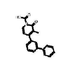 Cc1c(-c2cccc(-c3ccccc3)c2)ccn(C(=O)O)c1=O